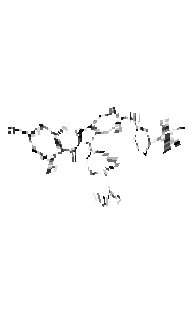 CS(=O)(=O)N1CCC[C@@H](Nc2ncc3nc(Nc4c(F)cc(Cl)cc4Cl)n([C@H]4CC[C@@H](C(N)=O)CC4)c3n2)C1